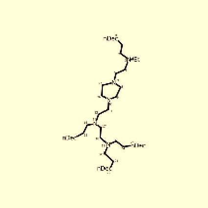 CCCCCCCCCCCCN(CC)CCN1CCN(CCN(CCCCCCCCCCCC)CCN(CCCCCCCCCCCC)CCCCCCCCCCCC)CC1